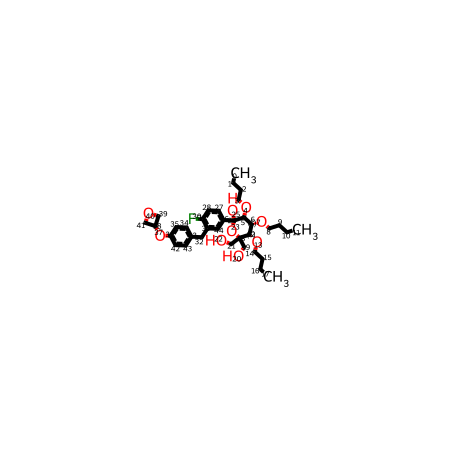 CCCCOC1[C@@H](OCCCC)[C@H](OCCCC)C(CO)(CO)OC1(O)c1ccc(F)c(Cc2ccc(OC3COC3)cc2)c1